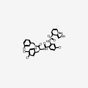 O=C(N[C@@H](Cc1ccc(Cl)c(Cl)c1)C(=O)NCc1cccc(Cl)c1)c1ccc(Cl)cc1NS(=O)(=O)C1=CC=CN2SNC=C12